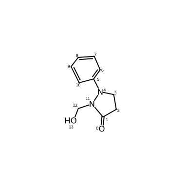 O=C1CCN(c2ccccc2)N1CO